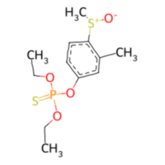 CCOP(=S)(OCC)Oc1ccc([S+](C)[O-])c(C)c1